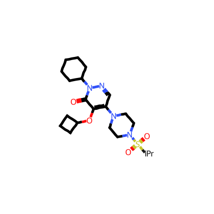 CC(C)S(=O)(=O)N1CCN(c2cnn(C3CCCCC3)c(=O)c2OC2CCC2)CC1